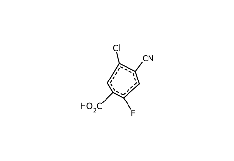 N#Cc1cc(F)c(C(=O)O)cc1Cl